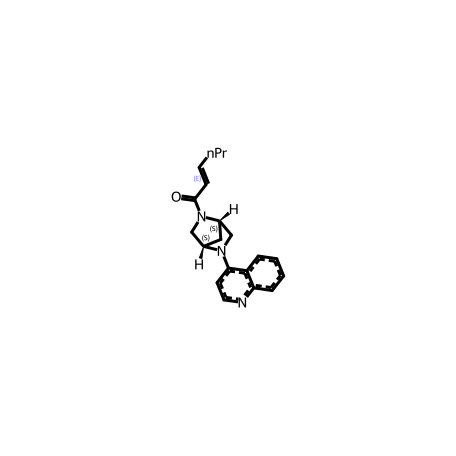 CCC/C=C/C(=O)N1C[C@@H]2C[C@H]1CN2c1ccnc2ccccc12